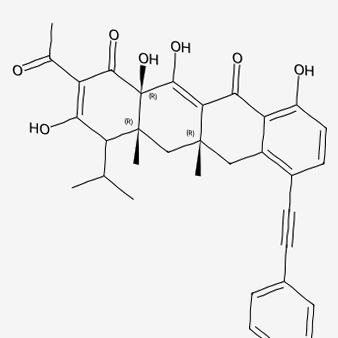 CC(=O)C1=C(O)C(C(C)C)[C@@]2(C)C[C@@]3(C)Cc4c(C#Cc5ccccc5)ccc(O)c4C(=O)C3=C(O)[C@@]2(O)C1=O